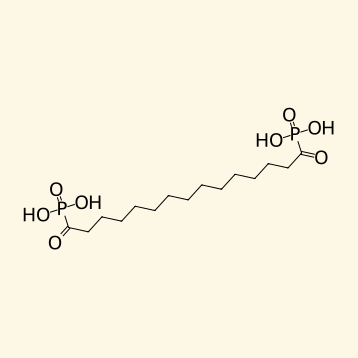 O=C(CCCCCCCCCCCCCC(=O)P(=O)(O)O)P(=O)(O)O